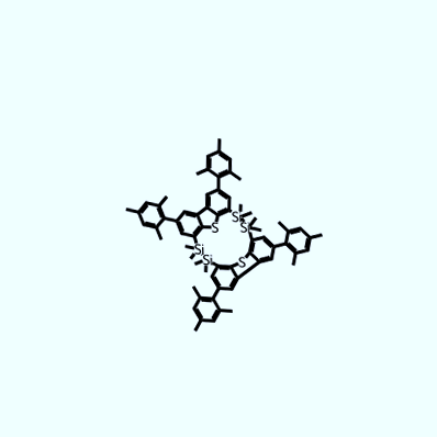 Cc1cc(C)c(-c2cc3c4sc5c(cc(-c6c(C)cc(C)cc6C)cc5c4c2)[Si](C)(C)[Si](C)(C)c2cc(-c4c(C)cc(C)cc4C)cc4c2sc2c(cc(-c5c(C)cc(C)cc5C)cc24)[Si](C)(C)[Si]3(C)C)c(C)c1